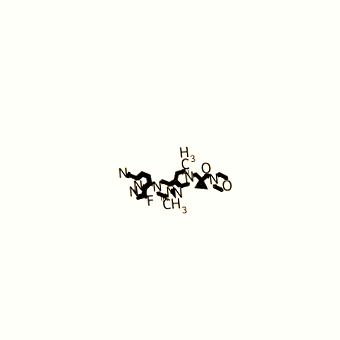 C[C@@H]1CN(c2ccc(C#N)n3ncc(F)c23)Cc2c3c(nn21)CN(CC1(C(=O)N2CCOCC2)CC1)[C@@H](C)C3